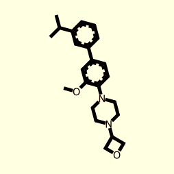 COc1cc(-c2cccc(C(C)C)c2)ccc1N1CCN(C2COC2)CC1